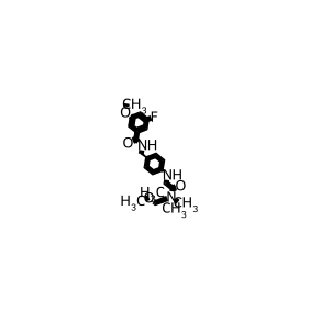 COCC(C)(C)N(C)C(=O)CN[C@H]1CC[C@@H](CNC(=O)c2cc(F)cc(OC)c2)CC1